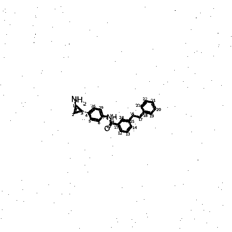 N[C@@H]1C[C@H]1c1ccc(NC(=O)c2cccc(CCc3ccccc3)c2)cc1